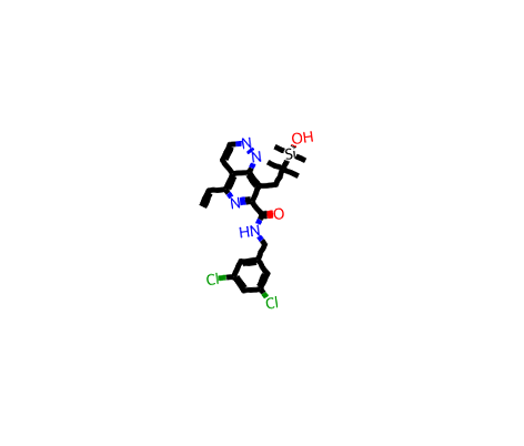 C=Cc1nc(C(=O)NCc2cc(Cl)cc(Cl)c2)c(CC(C)(C)[Si](C)(C)O)c2nnccc12